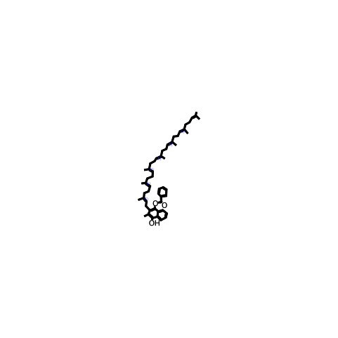 CC(C)=CCC/C(C)=C/CC/C(C)=C/CC/C(C)=C/CC/C(C)=C/CC/C(C)=C/CC/C(C)=C/Cc1c(C)c(O)c2ccccc2c1OC(=O)c1ccccc1